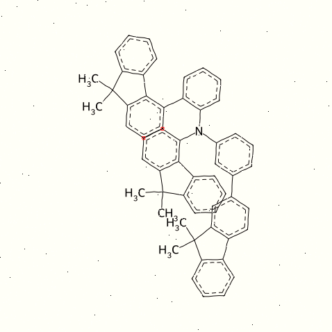 CC1(C)c2ccccc2-c2ccc(-c3cccc(N(c4ccccc4-c4cccc5c4-c4ccccc4C5(C)C)c4cccc5c4-c4ccccc4C5(C)C)c3)cc21